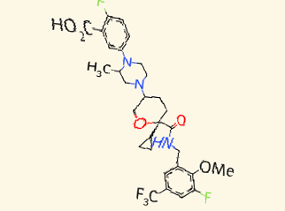 COc1c(F)cc(C(F)(F)F)cc1CNC(=O)[C@@]1(C2CC2)CCC(N2CCN(c3ccc(F)c(C(=O)O)c3)C(C)C2)CO1